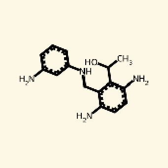 CC(O)c1c(N)ccc(N)c1CNc1cccc(N)c1